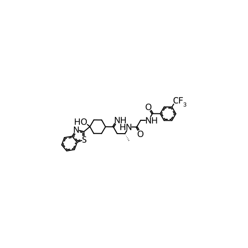 C[C@H](CC(=N)C1CCC(O)(c2nc3ccccc3s2)CC1)NC(=O)CNC(=O)c1cccc(C(F)(F)F)c1